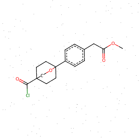 COC(=O)Cc1ccc(C23CCC(C(=O)Cl)(CC2)CO3)cc1